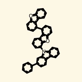 c1ccc(-c2ccc3c4ccccc4n(-c4cccc5c4oc4cccc(-c6cccc7oc8ccccc8c67)c45)c3c2)cc1